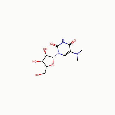 CN(C)c1cn([C@@H]2O[C@H](CO)[C@@H](O)[C@H]2O)c(=O)[nH]c1=O